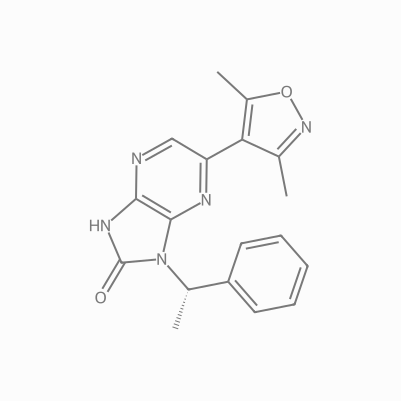 Cc1noc(C)c1-c1cnc2[nH]c(=O)n([C@@H](C)c3ccccc3)c2n1